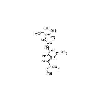 CC(O)[C@H](NC(=O)N[C@@H](CC(N)=O)c1noc([C@@H](N)CO)n1)C(=O)O